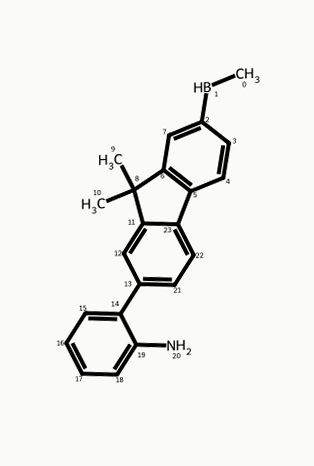 CBc1ccc2c(c1)C(C)(C)c1cc(-c3ccccc3N)ccc1-2